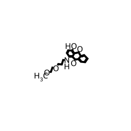 COCCOCCCNc1ccc(O)c2c1C(=O)c1ccccc1C2=O